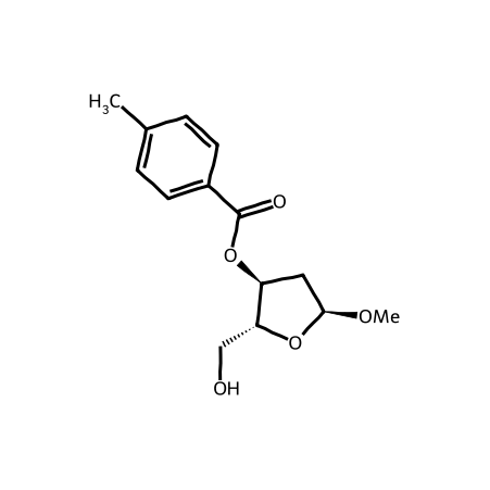 CO[C@@H]1C[C@H](OC(=O)c2ccc(C)cc2)[C@@H](CO)O1